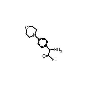 CCC(=O)C(N)c1ccc(N2CCOCC2)cc1